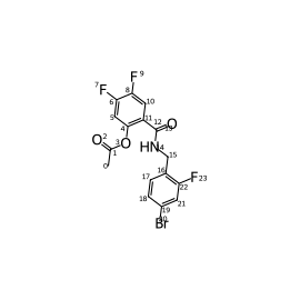 CC(=O)Oc1cc(F)c(F)cc1C(=O)NCc1ccc(Br)cc1F